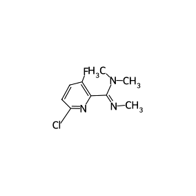 C/N=C(/c1nc(Cl)ccc1F)N(C)C